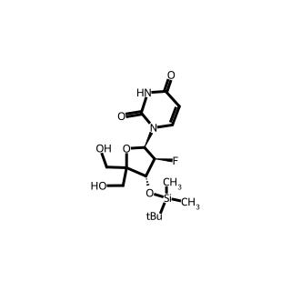 CC(C)(C)[Si](C)(C)O[C@H]1[C@H](F)[C@H](n2ccc(=O)[nH]c2=O)OC1(CO)CO